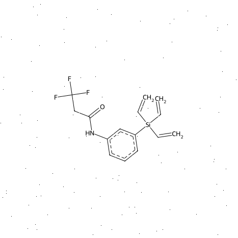 C=C[Si](C=C)(C=C)c1cccc(NC(=O)CC(F)(F)F)c1